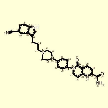 N#Cc1ccc2[nH]cc(CCCN3CCN(c4ccc(-n5ccc6nc(C(N)=O)ccc6c5=O)cc4)CC3)c2c1